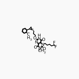 Cc1ccccc1C1C[C@H]1CCCOc1nc2c(=O)n(C)c(=O)n(CCCCC(F)F)c2c(=O)[nH]1